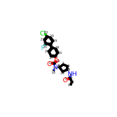 CCC(=O)N[C@H]1CC[C@@H](N(C)C(=O)Oc2ccc(-c3ccc(Cl)cc3F)cc2)C1